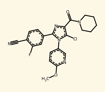 COc1ccc(-n2c(-c3ccc(C#N)c(F)c3)nc(C(=O)N3CCCCC3)c2Cl)cn1